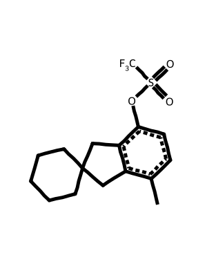 Cc1ccc(OS(=O)(=O)C(F)(F)F)c2c1CC1(CCCCC1)C2